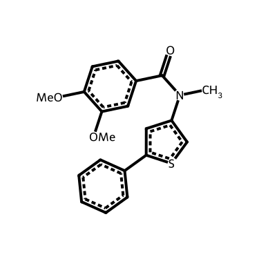 COc1ccc(C(=O)N(C)c2csc(-c3ccccc3)c2)cc1OC